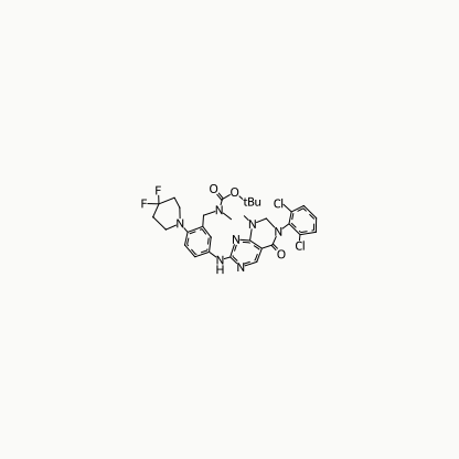 CN(Cc1cc(Nc2ncc3c(n2)N(C)CN(c2c(Cl)cccc2Cl)C3=O)ccc1N1CCC(F)(F)CC1)C(=O)OC(C)(C)C